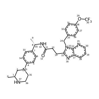 CC1CN(c2ccc([C@H](C)NC(=O)CCc3nc4cccnc4n3Cc3ccc(OC(F)(F)F)cc3)cc2)CCN1